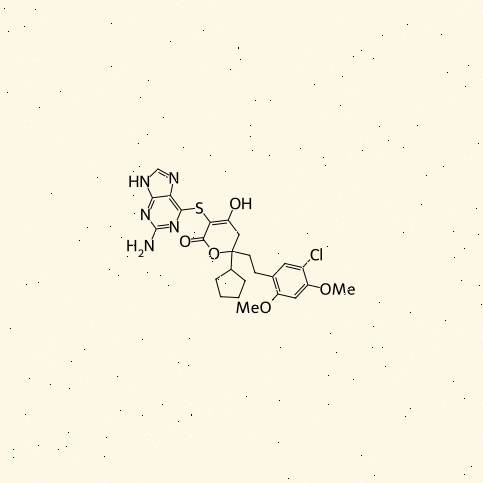 COc1cc(OC)c(CCC2(C3CCCC3)CC(O)=C(Sc3nc(N)nc4[nH]cnc34)C(=O)O2)cc1Cl